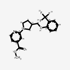 COC(=O)c1ccnc(N2CCC(COc3ccccc3C(F)(F)F)C2)c1